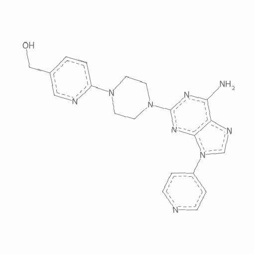 Nc1nc(N2CCN(c3ccc(CO)cn3)CC2)nc2c1ncn2-c1ccncc1